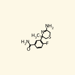 C[C@@]1(c2cc(C(N)=O)ccc2F)CSCC(N)=N1